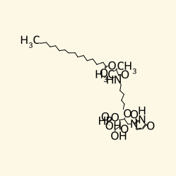 CCCCCCCCCCCCCCCC(=O)OC(C)(C)C(=O)NCCCCCCOC1C(O[PH](=O)O)C(CO)OC1n1ccc(=O)[nH]c1=O